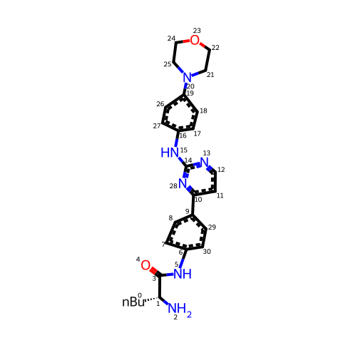 CCCC[C@@H](N)C(=O)Nc1ccc(-c2ccnc(Nc3ccc(N4CCOCC4)cc3)n2)cc1